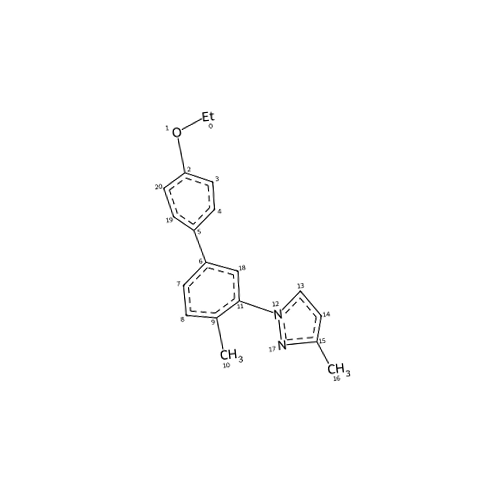 CCOc1ccc(-c2ccc(C)c(-n3ccc(C)n3)c2)cc1